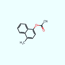 Cc1ccc(OC(=O)C#N)c2ccccc12